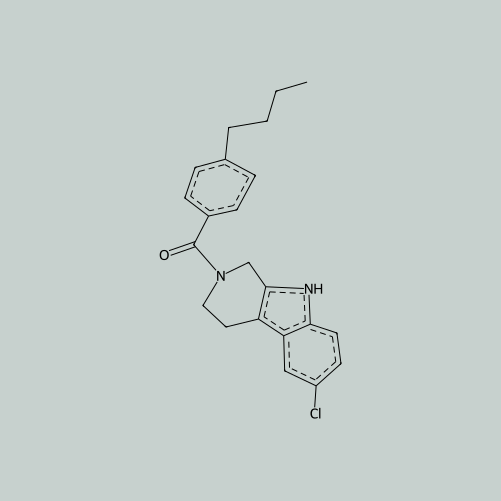 CCCCc1ccc(C(=O)N2CCc3c([nH]c4ccc(Cl)cc34)C2)cc1